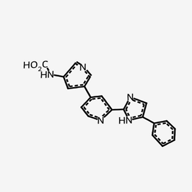 O=C(O)Nc1cncc(-c2ccnc(-c3ncc(-c4ccccc4)[nH]3)c2)c1